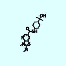 C/N=c1/sc2cc(C(=O)NC3CCC(C(C)(C)O)CC3)cnc2n1C